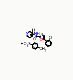 Cc1ccc(S(=O)(=O)O)cc1.O=C(N[C@H]1CN2CCC1CC2)c1ncc(-c2ccccc2Cl)o1